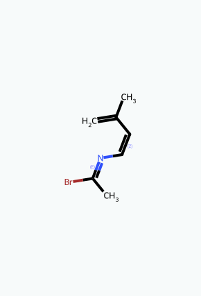 C=C(C)/C=C\N=C(/C)Br